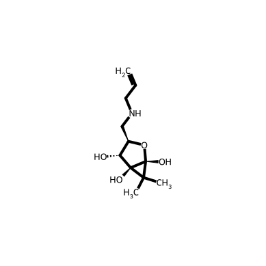 C=CCNC[C@H]1O[C@]2(O)C(C)(C)[C@]2(O)[C@@H]1O